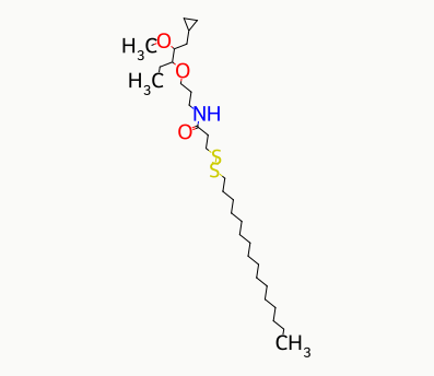 CCCCCCCCCCCCCCCCSSCCC(=O)NCCCOC(CC)C(CC1CC1)OC